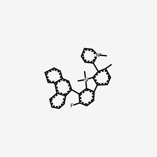 Cc1ccc2c(c1-c1cccc[n+]1C)[Si](C)(C)c1c-2ccc(F)c1-c1cc2ccccc2c2ccccc12